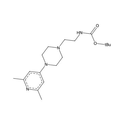 Cc1cc(N2CCN(CCNC(=O)OC(C)(C)C)CC2)cc(C)n1